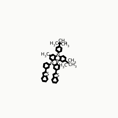 Cc1cc2c3c(c1)N(c1cccc(-c4cc5ccccc5s4)c1)c1cc(-c4cc5ccccc5s4)ccc1B3c1cc(C(C)(C)C)ccc1N2c1ccc(C(C)(C)C)cc1